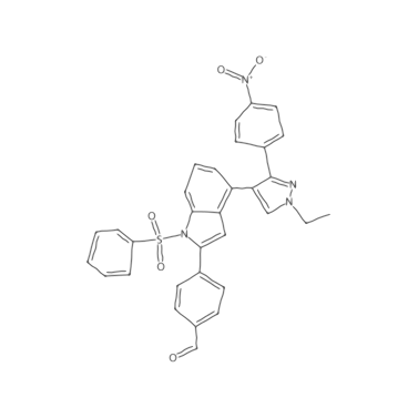 CCn1cc(-c2cccc3c2cc(-c2ccc(C=O)cc2)n3S(=O)(=O)c2ccccc2)c(-c2ccc([N+](=O)[O-])cc2)n1